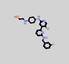 OCCN[C@H]1CC[C@H](Nc2cc(-c3cccc(NCc4cccc(F)c4)n3)c(Cl)cn2)CC1